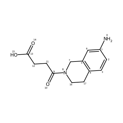 Nc1ccc2c(c1)CN(C(=O)CCC(=O)O)CC2